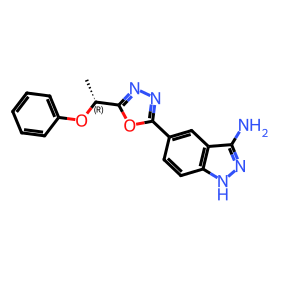 C[C@@H](Oc1ccccc1)c1nnc(-c2ccc3[nH]nc(N)c3c2)o1